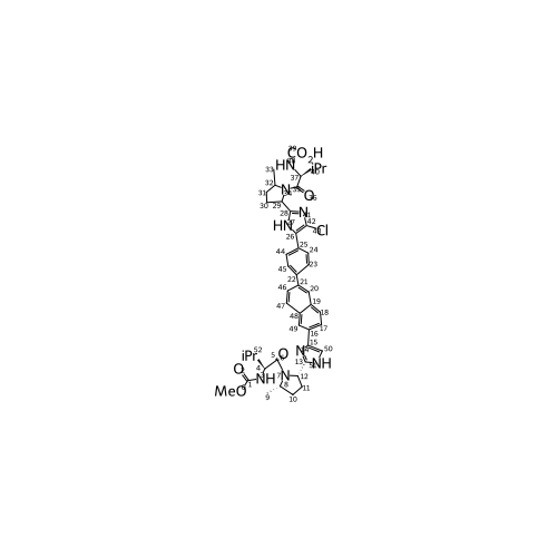 COC(=O)N[C@H](C(=O)N1[C@@H](C)CC[C@H]1c1nc(-c2ccc3cc(-c4ccc(-c5[nH]c(C6CCC(C)N6C(=O)[C@@H](NC(=O)O)C(C)C)nc5Cl)cc4)ccc3c2)c[nH]1)C(C)C